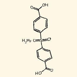 O=C(O)c1ccc(S(=O)(=O)c2ccc(C(=O)O)cc2)cc1.[PbH2]